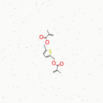 C=C(C)C(=O)OCc1ccc(COC(=O)C(=C)C)s1